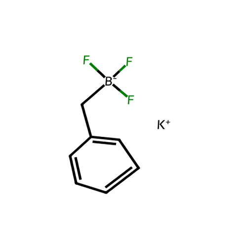 F[B-](F)(F)Cc1ccccc1.[K+]